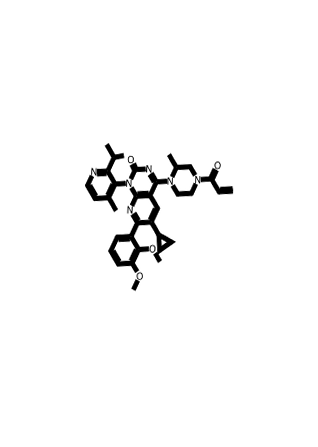 C=CC(=O)N1CCN(c2nc(=O)n(-c3c(C)ccnc3C(C)C)c3nc(-c4cccc(OC)c4OC)c(C4CC4)cc23)C(C)C1